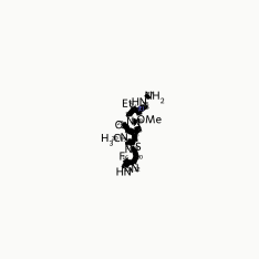 CCC(Cn1ncc2c3sc(Cc4n[nH]cc4F)nc3n(C)c2c1=O)/C(=C\NN)OC